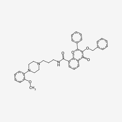 COc1ccccc1N1CCN(CCCNC(=O)c2cccc3c(=O)c(OCc4ccccc4)c(-c4ccccc4)oc23)CC1